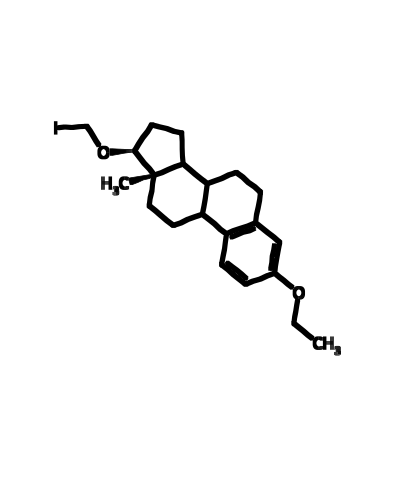 CCOc1ccc2c(c1)CCC1C2CC[C@@]2(C)C1CC[C@@H]2OCI